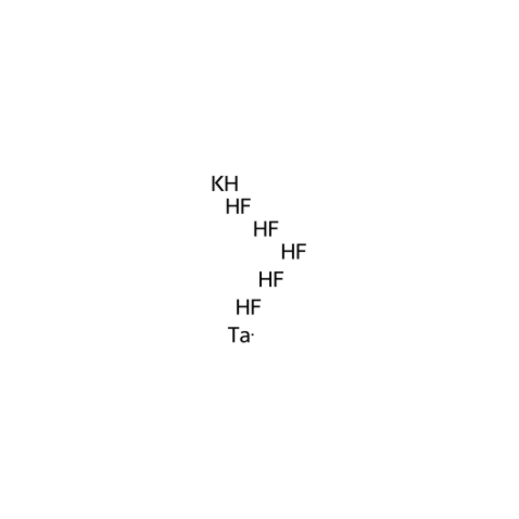 F.F.F.F.F.[KH].[Ta]